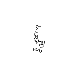 O=C(O)c1cnc(Nc2cc(N3CCN(CCO)CC3)ncn2)s1